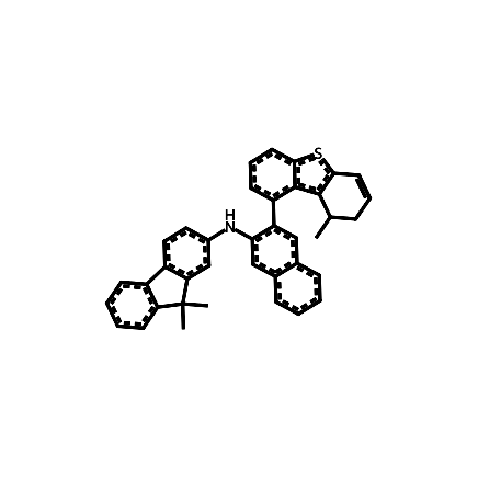 CC1CC=Cc2sc3cccc(-c4cc5ccccc5cc4Nc4ccc5c(c4)C(C)(C)c4ccccc4-5)c3c21